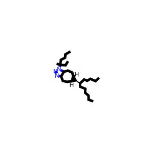 CCCCCCC(CCCCC)[C@@H]1[C@@H]2CCC3C(CC[C@@H]21)N=NN3C(C)(CC)CCCC